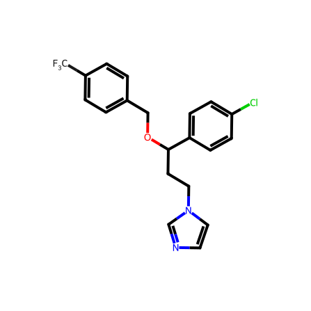 FC(F)(F)c1ccc(COC(CCn2ccnc2)c2ccc(Cl)cc2)cc1